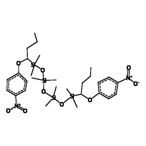 CCCC(Oc1ccc([N+](=O)[O-])cc1)[Si](C)(C)O[Si](C)(C)O[Si](C)(C)O[Si](C)(C)C(CCC)Oc1ccc([N+](=O)[O-])cc1